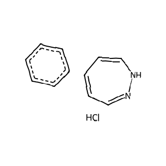 C1=CC=NNC=C1.Cl.c1ccccc1